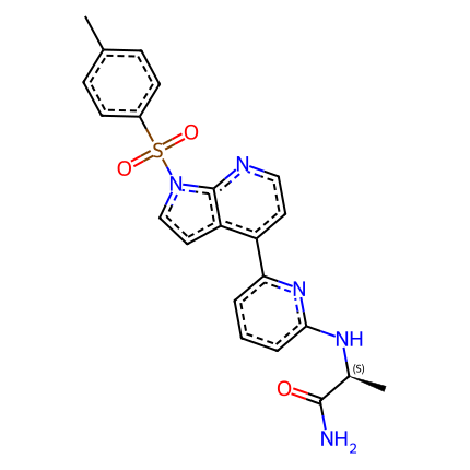 Cc1ccc(S(=O)(=O)n2ccc3c(-c4cccc(N[C@@H](C)C(N)=O)n4)ccnc32)cc1